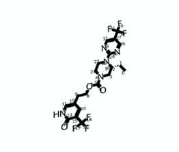 CC[C@@H]1CN(C(=O)OCCc2c[nH]c(=O)c(C(F)(F)F)c2)CCN1c1ncc(C(F)(F)F)cn1